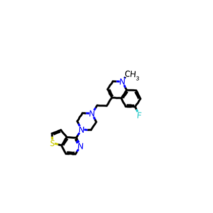 CN1CC=C(CCN2CCN(c3nccc4sccc34)CC2)c2cc(F)ccc21